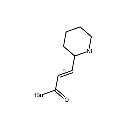 CC(C)(C)C(=O)/C=C/C1CCCCN1